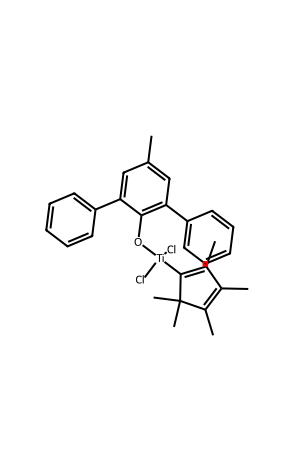 CC1=C(C)C(C)(C)[C]([Ti]([Cl])([Cl])[O]c2c(-c3ccccc3)cc(C)cc2-c2ccccc2)=C1C